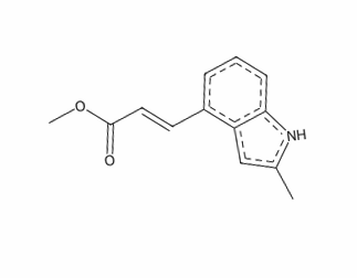 COC(=O)C=Cc1cccc2[nH]c(C)cc12